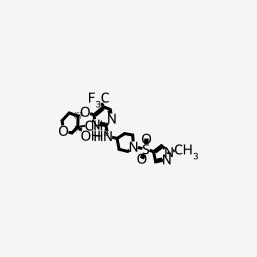 Cn1cc(S(=O)(=O)N2CCC(Nc3ncc(C(F)(F)F)c(O[C@H]4CCOC[C@@]4(C)O)n3)CC2)cn1